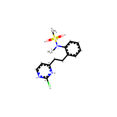 CN(c1ccccc1CCc1ccnc(Cl)n1)S(C)(=O)=O